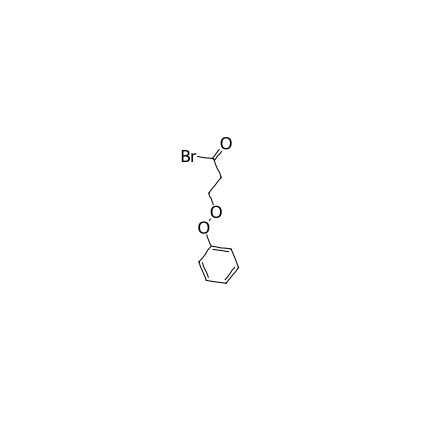 O=C(Br)CCOOc1ccccc1